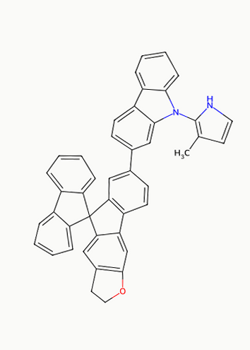 Cc1cc[nH]c1-n1c2ccccc2c2ccc(-c3ccc4c(c3)C3(c5ccccc5-c5ccccc53)c3cc5c(cc3-4)OCC5)cc21